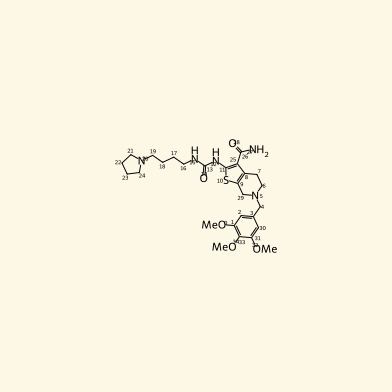 COc1cc(CN2CCc3c(sc(NC(=O)NCCCCN4CCCC4)c3C(N)=O)C2)cc(OC)c1OC